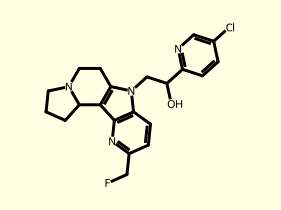 OC(Cn1c2c(c3nc(CF)ccc31)C1CCCN1CC2)c1ccc(Cl)cn1